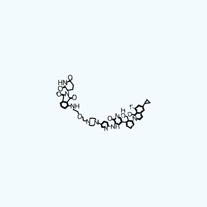 Cn1cc(-c2cccc(-n3ccc4cc(C5CC5)cc(F)c4c3=O)c2CO)cc(Nc2ccc(N3CCN(CCOCCNc4cccc5c4C(=O)N(C4CCC(=O)NC4=O)C5=O)CC3)cn2)c1=O